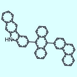 c1ccc2cc3c(cc2c1)[nH]c1ccc(-c2c4ccccc4c(-c4ccc5ccc6ccccc6c5c4)c4ccccc24)cc13